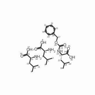 CC(C)C[C@H](N)C(=O)O.CC(C)C[C@H](N)C(=O)O.CC(C)C[C@H](NC(=O)OCc1ccccc1)C(=O)O